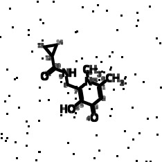 Cc1cc(=O)c(O)c(CNC(=O)C2CC2)n1C